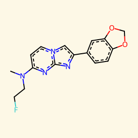 CN(CCF)c1ccn2cc(-c3ccc4c(c3)OCO4)nc2n1